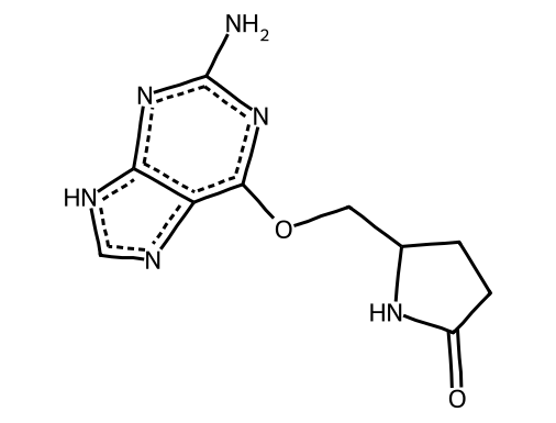 Nc1nc(OCC2CCC(=O)N2)c2nc[nH]c2n1